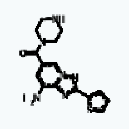 Nc1cc(C(=O)N2CCNCC2)cn2nc(-c3cccs3)nc12